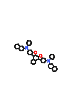 C1=C(N(c2ccccc2)c2ccc3c(c2)oc2c4oc5cc(N(c6ccccc6)c6ccc7ccccc7c6)ccc5c4c4ccccc4c32)CCc2ccccc21